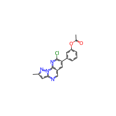 CC(=O)Oc1cccc(-c2cc3cnc4cc(C)nn4c3nc2Cl)c1